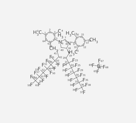 Cc1cc(C)c(N2C=[N+](c3c(C)cc(C)cc3C)[C@@H](CCC(F)(F)C(F)(F)C(F)(F)C(F)(F)C(F)(F)C(F)(F)F)[C@@H]2CCC(F)(F)C(F)(F)C(F)(F)C(F)(F)C(F)(F)C(F)(F)F)c(C)c1.F[B-](F)(F)F